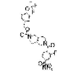 NS(=O)(=O)c1ccc(C(=O)N2CCC3=C(CCN(C(=O)OCc4ccc(OC(F)(F)F)cc4)C3)C2)c(F)c1